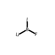 [Li][B](F)I